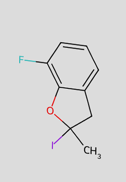 CC1(I)Cc2cccc(F)c2O1